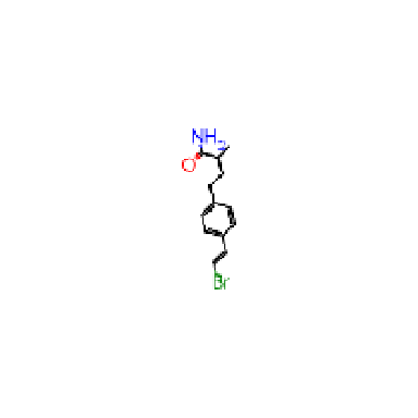 CC(CCc1ccc(C=CBr)cc1)C(N)=O